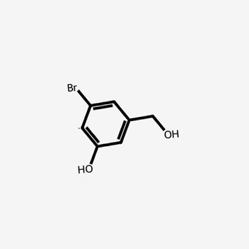 OCc1cc(O)[c]c(Br)c1